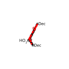 CCCCCCCCCCCCCCCCCC(=O)CCCCCCCCCCCCCCCCC(C(=O)O)C(=O)CCCCCCCCCCCCCCCCC